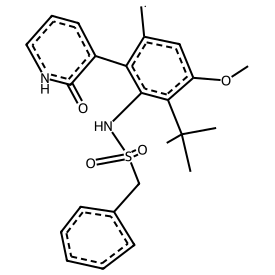 [CH2]c1cc(OC)c(C(C)(C)C)c(NS(=O)(=O)Cc2ccccc2)c1-c1ccc[nH]c1=O